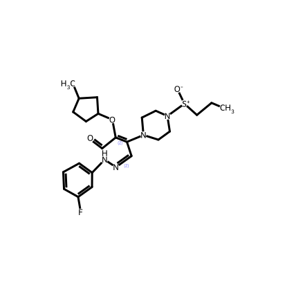 CCC[S+]([O-])N1CCN(C(/C=N\Nc2cccc(F)c2)=C(/C=O)OC2CCC(C)C2)CC1